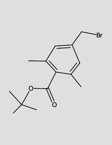 Cc1cc(CBr)cc(C)c1C(=O)OC(C)(C)C